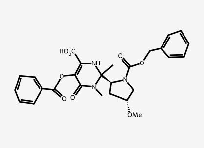 CO[C@@H]1C[C@@H](C2(C)NC(C(=O)O)=C(OC(=O)c3ccccc3)C(=O)N2C)N(C(=O)OCc2ccccc2)C1